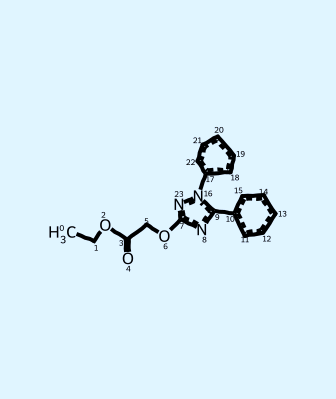 CCOC(=O)COc1nc(-c2ccccc2)n(-c2ccccc2)n1